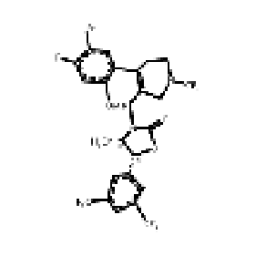 COc1cc(F)c(C(C)C)cc1C1=C(CN2C(=O)O[C@H](c3cc(C(F)(F)F)cc(C(F)(F)F)c3)[C@@H]2C)CN(C(F)(F)F)CC1